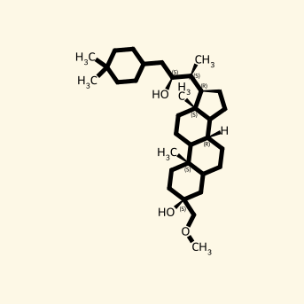 COC[C@]1(O)CC[C@@]2(C)C(CC[C@@H]3C2CC[C@@]2(C)C3CC[C@@H]2[C@H](C)[C@@H](O)CC2CCC(C)(C)CC2)C1